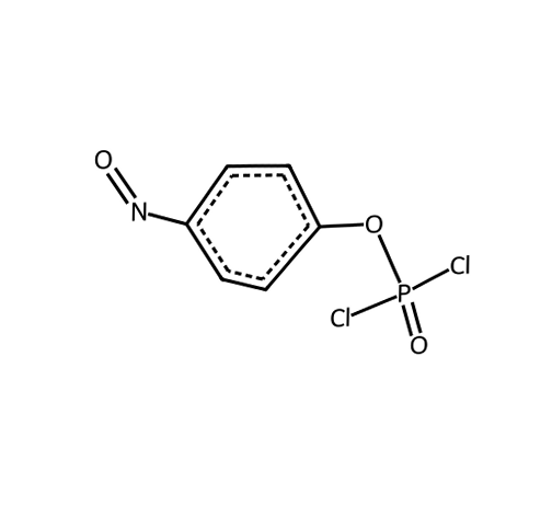 O=Nc1ccc(OP(=O)(Cl)Cl)cc1